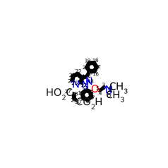 CN(C)CCOc1ccccc1-n1nc(-c2ccccc2)c2cccnc21.O=C(O)C=CC(=O)O